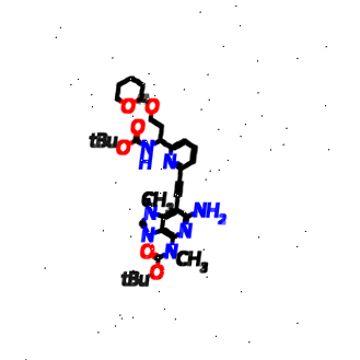 CN(C(=O)OC(C)(C)C)c1nc(N)c(C#Cc2cccc(C(CCO[C@H]3CCCCO3)NC(=O)OC(C)(C)C)n2)c2c1ncn2C